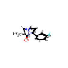 CC1Cn2ccc(-c3cccc(F)c3)[n+]2C1=O